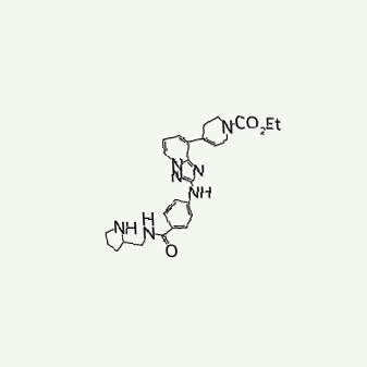 CCOC(=O)N1CC=C(c2cccn3nc(Nc4ccc(C(=O)NCC5CCCN5)cc4)nc23)CC1